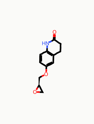 O=C1CCc2cc(OC[C@H]3CO3)ccc2N1